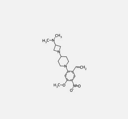 C=Cc1cc([N+](=O)[O-])c(OC)cc1N1CCC(N2CC(N(C)C)C2)CC1